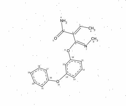 C/C=C(C(N)=O)\C(=N/C)Oc1cccc(Oc2ccccc2)c1